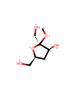 CO[C@]1(CO)O[C@H](CO)C[C@@H]1O